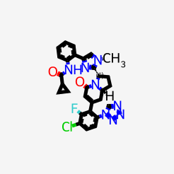 Cn1cc(-c2ccccc2NC(=O)C2CC2)nc1[C@@H]1CC[C@@H]2CC(c3c(-n4cnnn4)ccc(Cl)c3F)=CC(=O)N21